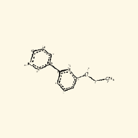 CCOc1cccc(-c2cccnc2)n1